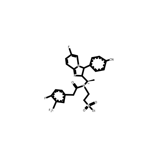 CCS(=O)(=O)CCN(C(=O)Cc1ccc(F)c(C(F)(F)F)c1)[C@H](C)C1N=C2C=CC(F)=CN2C1c1ccc(C#N)cc1